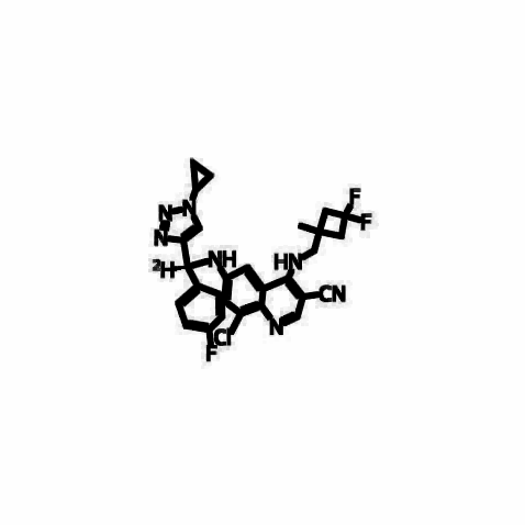 [2H][C@](Nc1cc(Cl)c2ncc(C#N)c(NCC3(C)CC(F)(F)C3)c2c1)(c1ccc(F)cc1)c1cn(C2CC2)nn1